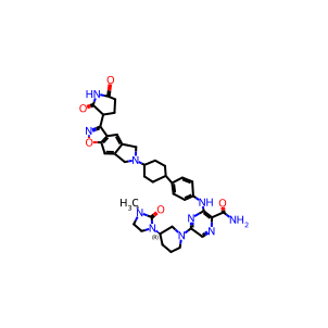 CN1CCN([C@@H]2CCCN(c3cnc(C(N)=O)c(Nc4ccc(C5CCC(N6Cc7cc8onc(C9CCC(=O)NC9=O)c8cc7C6)CC5)cc4)n3)C2)C1=O